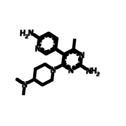 Cc1nc(N)nc(N2CCC(N(C)C)CC2)c1-c1ccc(N)nc1